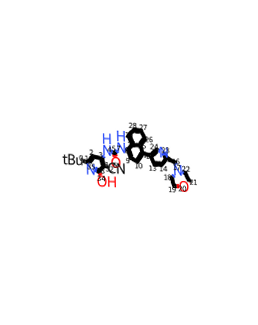 CC(C)(C)c1cc(NC(=O)Nc2ccc(-c3ccc(CN4CCOCC4)nc3)c3ccccc23)c(C#N)c(O)n1